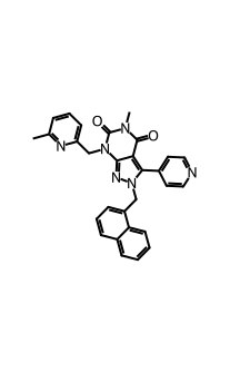 Cc1cccc(Cn2c(=O)n(C)c(=O)c3c(-c4ccncc4)n(Cc4cccc5ccccc45)nc32)n1